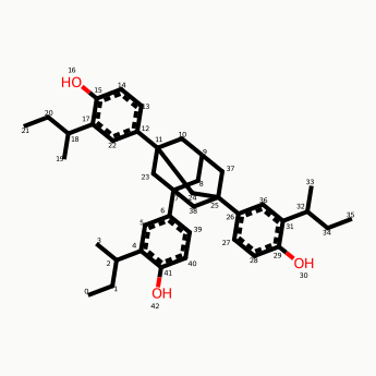 CCC(C)c1cc(C23CC4CC(c5ccc(O)c(C(C)CC)c5)(C2)CC(c2ccc(O)c(C(C)CC)c2)(C4)C3)ccc1O